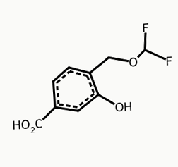 O=C(O)c1ccc(COC(F)F)c(O)c1